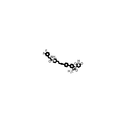 Cn1c(=O)n(C2CCC(=O)NC2=O)c2ccc(-c3ccc(C#CCCC4CCN(C(=O)[C@@H](N)Cc5ccc(F)c(F)c5)CC4)cc3)cc21